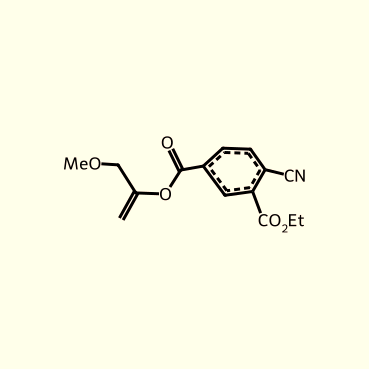 C=C(COC)OC(=O)c1ccc(C#N)c(C(=O)OCC)c1